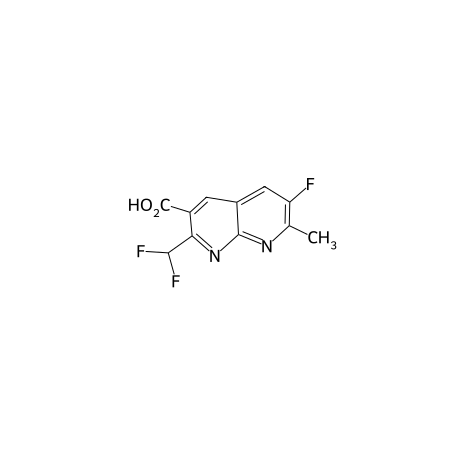 Cc1nc2nc(C(F)F)c(C(=O)O)cc2cc1F